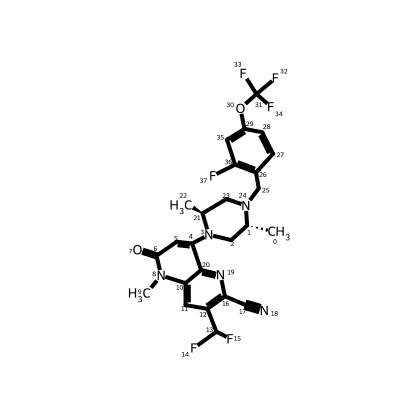 C[C@@H]1CN(c2cc(=O)n(C)c3cc(C(F)F)c(C#N)nc23)[C@@H](C)CN1Cc1ccc(OC(F)(F)F)cc1F